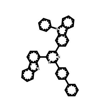 c1ccc(-c2ccc(-c3nc(-c4ccc5c6ccccc6n(-c6ccccc6)c5c4)cc(-c4cccc5c4sc4ccccc45)n3)cc2)cc1